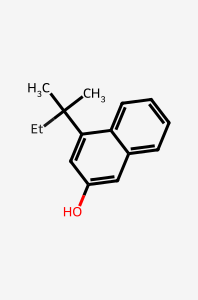 CCC(C)(C)c1cc(O)cc2ccccc12